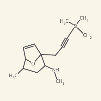 CNC1CC(C)C2C=CC1(CC#C[Si](C)(C)C)O2